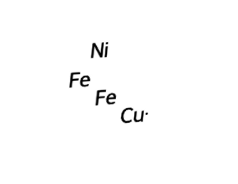 [Cu].[Fe].[Fe].[Ni]